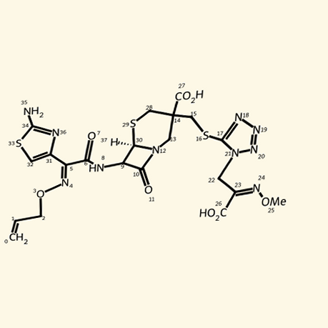 C=CCON=C(C(=O)NC1C(=O)N2CC(CSc3nnnn3CC(=NOC)C(=O)O)(C(=O)O)CS[C@H]12)c1csc(N)n1